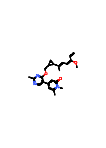 C=C/C(=C\C=C(/C)C1CC1COc1nc(C)ncc1-c1cc(C)n(C)c(=O)c1)OC